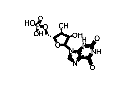 O=c1[nH]c(=O)c2ncn(C3O[C@H](COP(=O)(O)O)[C@@H](O)[C@H]3O)c2[nH]1